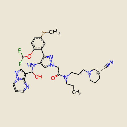 CCCN(CCCN1CCC[C@@H](C#N)C1)C(=O)Cn1cc(NC(O)c2cnn3cccnc23)c(-c2cc(SC)ccc2OC(F)F)n1